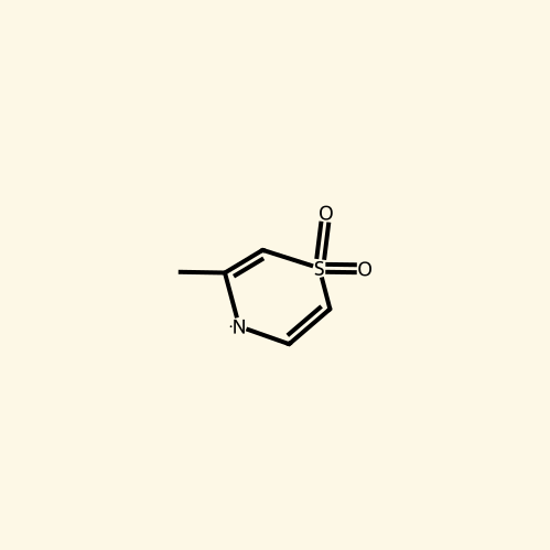 CC1=CS(=O)(=O)C=C[N]1